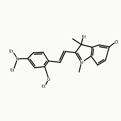 CCOc1cc(N(CC)CC)ccc1/C=C/C1=[N+](C)c2ccc(Cl)cc2C1(C)CC